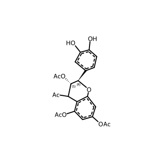 CC(=O)Oc1cc(OC(C)=O)c2c(c1)O[C@H](c1ccc(O)c(O)c1)[C@@H](OC(C)=O)C2C(C)=O